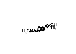 CCOCCCC1CCc2cc([C@@H]3CC[C@](N)(CO)C3)ccc2C1